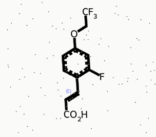 O=C(O)/C=C/c1ccc(OCC(F)(F)F)cc1F